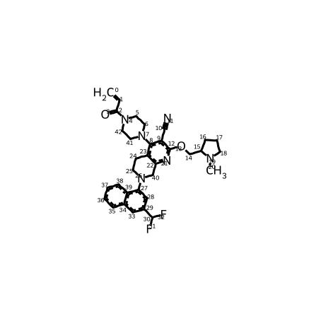 C=CC(=O)N1CCN(c2c(C#N)c(OCC3CCCN3C)nc3c2CCN(c2cc(C(F)F)cc4ccccc24)C3)CC1